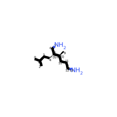 CC(C)CC[C@H](CN)[C@@H](C)CCCN